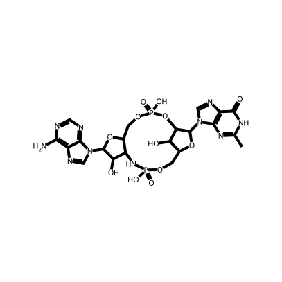 Cc1nc2c(ncn2C2OC3COP(=O)(O)NC4C(COP(=O)(O)OC2C3O)OC(n2cnc3c(N)ncnc32)C4O)c(=O)[nH]1